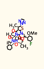 COc1ccc(F)cc1[C@H](Cn1c(=O)n(C(C)(C)C(=O)NC(C)C)c(=O)c2c(C)c(-n3nccn3)sc21)OCC(C)COCc1ccccc1